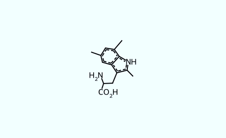 Cc1cc(C)c2[nH]c(C)c(CC(N)C(=O)O)c2c1